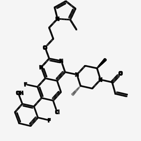 C=CC(=O)N1C[C@H](C)N(c2nc(OCCn3cccc3C)nc3c(F)c(-c4c(O)cccc4F)c(Cl)cc23)C[C@H]1C